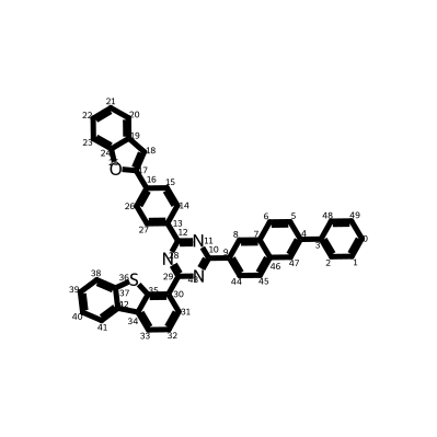 c1ccc(-c2ccc3cc(-c4nc(-c5ccc(-c6cc7ccccc7o6)cc5)nc(-c5cccc6c5sc5ccccc56)n4)ccc3c2)cc1